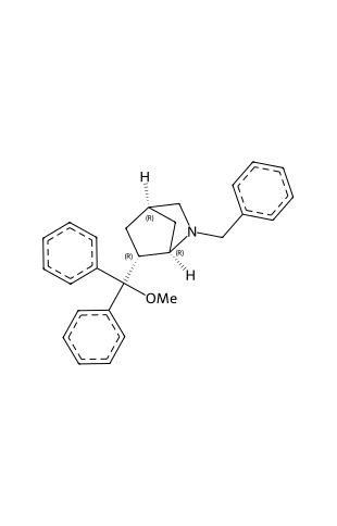 COC(c1ccccc1)(c1ccccc1)[C@@H]1C[C@@H]2C[C@H]1N(Cc1ccccc1)C2